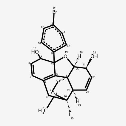 CN1CC[C@]23C4=C5C=CC(O)C4(c4ccc(Br)cc4)O[C@H]2[C@@H](O)C=C[C@H]3[C@H]1C5